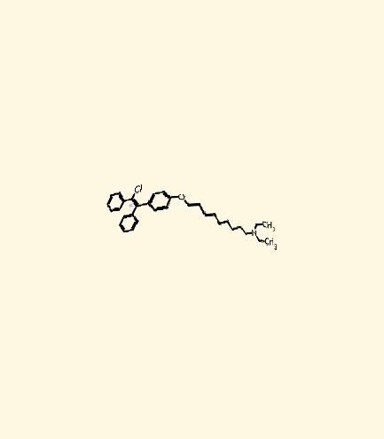 CCN(CC)CCCCCCCCCOc1ccc(/C(=C(\Cl)c2ccccc2)c2ccccc2)cc1